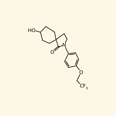 O=C1N(c2ccc(OCC(F)(F)F)cc2)CCC12CCC(O)CC2